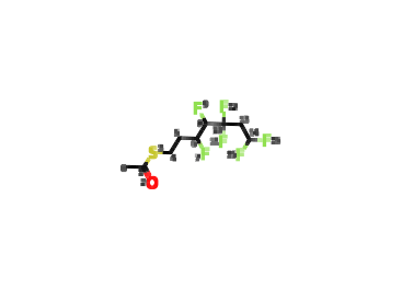 CC(=O)SCCC(F)C(F)C(F)(F)CC(F)F